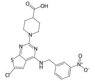 O=C(O)C1CCN(c2nc(NCc3cccc([N+](=O)[O-])c3)c3cc(Cl)sc3n2)CC1